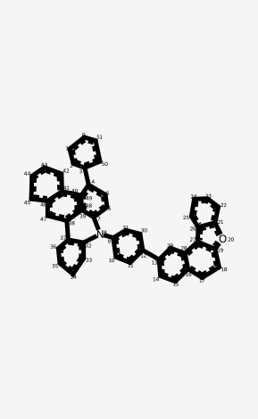 c1ccc(-c2ccc(N(c3ccc(-c4ccc5ccc6oc7ccccc7c6c5c4)cc3)c3ccccc3-c3ccc4ccccc4c3)cc2)cc1